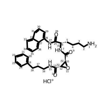 Cl.NCCCC[C@H](NC(=O)[C@H]1O[C@@H]1C(=O)NCCCc1ccccc1)C(=O)Nc1cccc2ccccc12